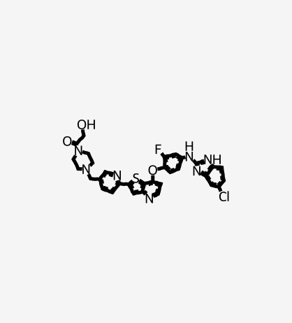 O=C(CO)N1CCN(Cc2ccc(-c3cc4nccc(Oc5ccc(Nc6nc7cc(Cl)ccc7[nH]6)cc5F)c4s3)nc2)CC1